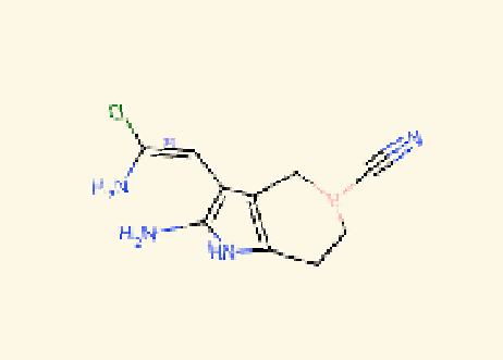 N#CB1CCc2[nH]c(N)c(/C=C(\N)Cl)c2C1